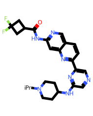 CC(C)N1CCC(Nc2cncc(-c3ccc4cnc(NC(=O)C5CC(F)(F)C5)cc4n3)n2)CC1